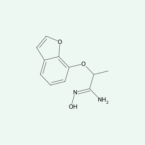 CC(Oc1cccc2ccoc12)C(N)=NO